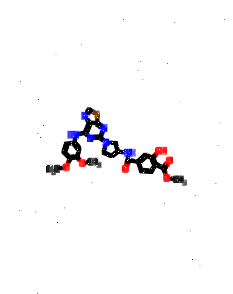 COC(=O)c1ccc(C(=O)NC2CCN(c3nc(Nc4ccc(OC)c(OC)c4)c4ncsc4n3)C2)cc1O